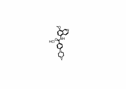 COc1ccc(NC(=O)c2ccc(N3CCN(C)CC3)cc2)c2ccncc12.Cl